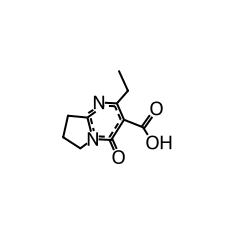 CCc1nc2n(c(=O)c1C(=O)O)CCC2